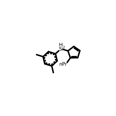 CCCC1=CC=C[C]1[SiH2]c1cc(C)cc(C)c1